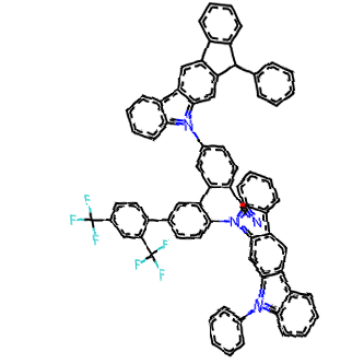 N#Cc1ccc(-n2c3ccccc3c3cc4c(cc32)C(c2ccccc2)c2ccccc2-4)cc1-c1cc(-c2ccc(C(F)(F)F)cc2C(F)(F)F)ccc1-n1c2ccccc2c2cc3c4ccccc4n(-c4ccccc4)c3cc21